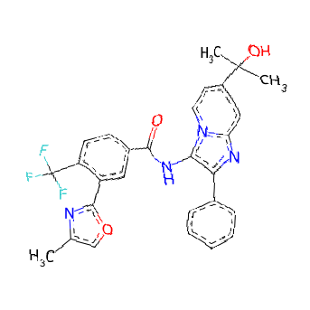 Cc1coc(-c2cc(C(=O)Nc3c(-c4ccccc4)nc4cc(C(C)(C)O)ccn34)ccc2C(F)(F)F)n1